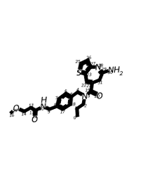 CCCN(Cc1ccc(CNC(=O)CCOC)cc1)C(=O)C1=Cc2sccc2N=C(N)C1